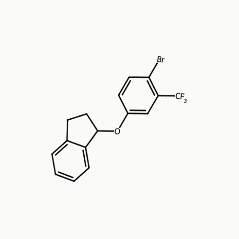 FC(F)(F)c1cc(OC2CCc3ccccc32)ccc1Br